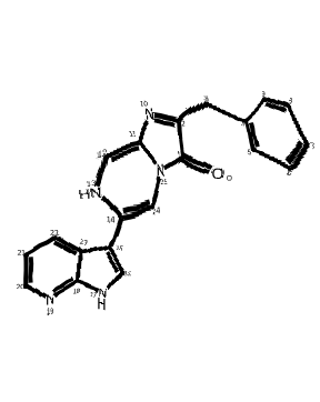 O=c1c(Cc2ccccc2)nc2c[nH]c(-c3c[nH]c4ncccc34)cn1-2